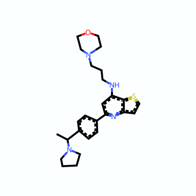 CC(c1ccc(-c2cc(NCCCN3CCOCC3)c3sccc3n2)cc1)N1CCCC1